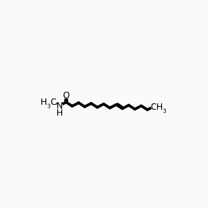 CCCCCC=CCCCCCCCC(=O)NC